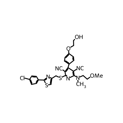 [C-]#[N+]c1c(N(C)CCOC)nc(SCc2csc(-c3ccc(Cl)cc3)n2)c(C#N)c1-c1ccc(OCCO)cc1